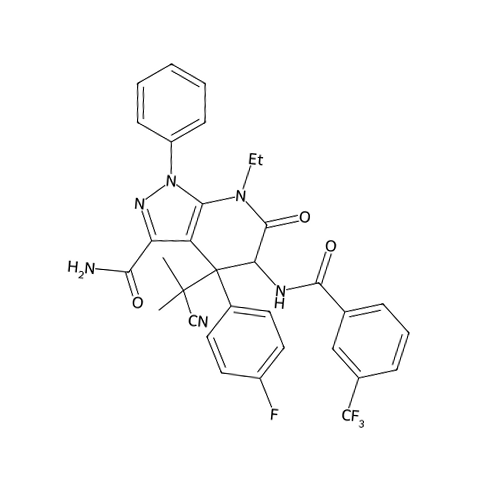 CCN1C(=O)C(NC(=O)c2cccc(C(F)(F)F)c2)C(c2ccc(F)cc2)(C(C)(C)C#N)c2c(C(N)=O)nn(-c3ccccc3)c21